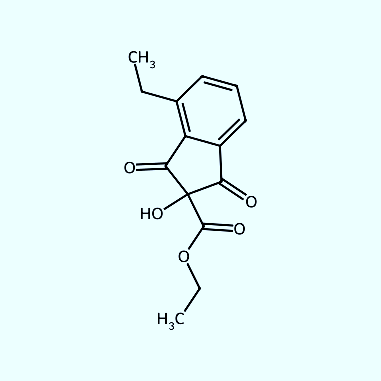 CCOC(=O)C1(O)C(=O)c2cccc(CC)c2C1=O